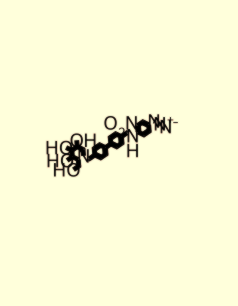 [N-]=[N+]=Nc1ccc(NCc2ccc(-c3ccc(CN4CC(O)C(O)C(O)C4CO)cc3)cc2)c([N+](=O)[O-])c1